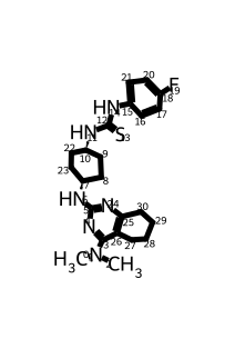 CN(C)c1nc(N[C@H]2CC[C@@H](NC(=S)Nc3ccc(F)cc3)CC2)nc2c1CCCC2